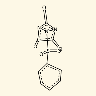 O=c1c(=O)n2c(=O)n1n2S(=O)(=O)c1ccccc1